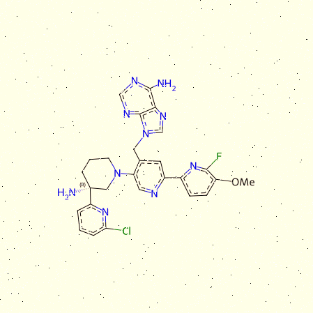 COc1ccc(-c2cc(Cn3cnc4c(N)ncnc43)c(N3CCC[C@](N)(c4cccc(Cl)n4)C3)cn2)nc1F